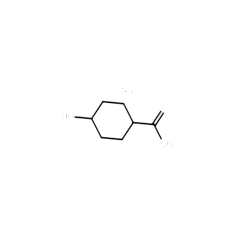 N.O=C(O)C1CCC(O)CC1